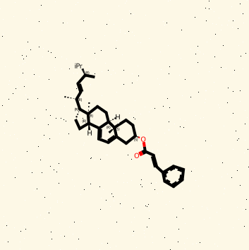 CC(C)[C@@H](C)C=C[C@@H](C)[C@H]1CC[C@H]2C3=CC=C4C[C@@H](OC(=O)C=Cc5ccccc5)CC[C@@]4(C)[C@@H]3CC[C@]12C